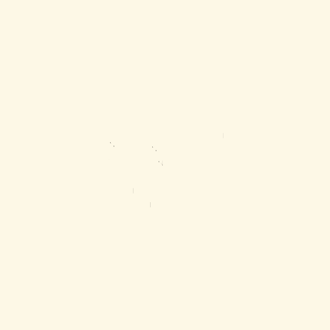 Fc1ccc(Cn2nc(C(F)(F)F)c3c2CNCC3)cc1